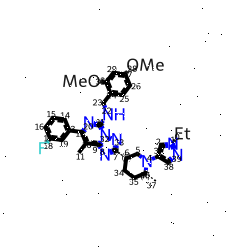 CCn1cc(N2C[C@@H](c3nc4c(C)c(-c5cccc(F)c5)nc(NCc5ccc(OC)cc5OC)n4n3)CC[C@H]2C)cn1